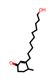 CC1CCC(=O)C=C1CCCCCCCCCCO